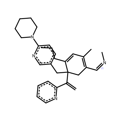 C=C(c1ccccn1)C1(Cc2ccc(N3CCCCC3)nc2)CC(/C=N\C)=C(C)C=C1CCC